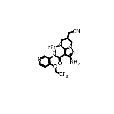 CCCN1CC(CC#N)Cn2nc(N)c(C(=O)Nc3cnccc3OCC(F)(F)F)c21